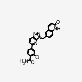 NC(=O)c1ccc(-c2ccc3nnn(Cc4ccc5[nH]c(=O)ccc5c4)c3n2)cc1Cl